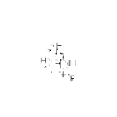 Cc1ccc(Nc2nc(N[C@H](CC(F)F)C(N)=O)cnc2C(N)=O)cc1C